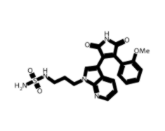 COc1ccccc1C1=C(c2cn(CCCNS(N)(=O)=O)c3ncccc23)C(=O)NC1=O